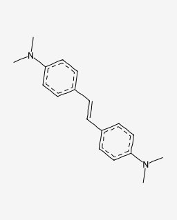 CN(C)c1ccc(C=Cc2ccc(N(C)C)cc2)cc1